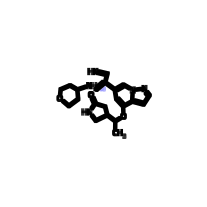 CC(Oc1cc(/C(C=N)=C/NC2CCOCC2)cn2nccc12)C1CNC(=O)C1